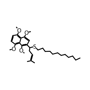 CCCCCCCCCCCCSC(CC=C(C)C)c1cc(OC)c2c(OC)ccc(OC)c2c1OC